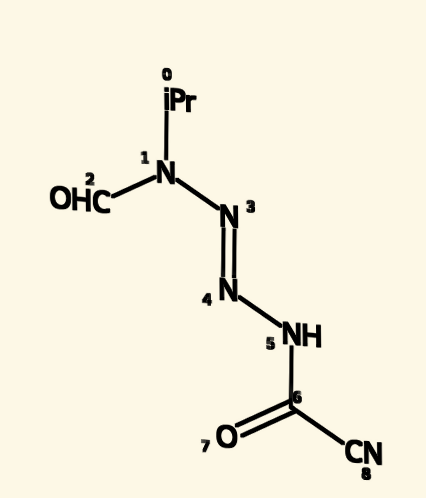 CC(C)N(C=O)N=NNC(=O)C#N